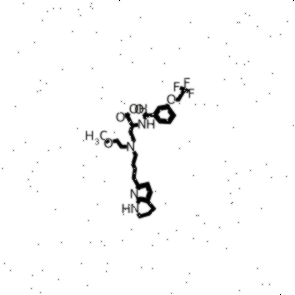 COCCN(CCCCc1ccc2c(n1)NCCC2)CCC(NC(=O)c1cccc(OCC(F)(F)F)c1)C(=O)O